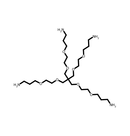 NCCCOCCOCC(COCCOCCCN)(COCCOCCCN)COCCOCCCN